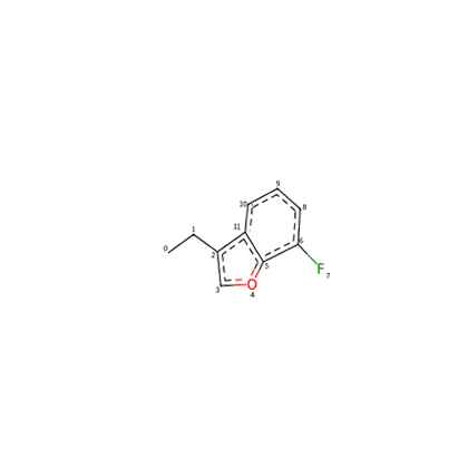 CCc1coc2c(F)cc[c]c12